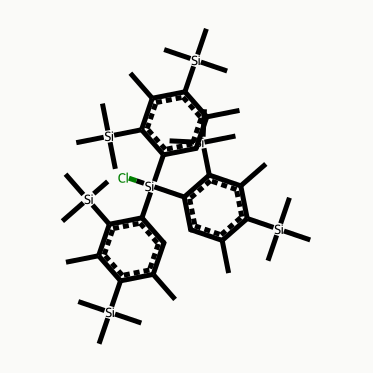 Cc1cc([Si](Cl)(c2cc(C)c([Si](C)(C)C)c(C)c2[Si](C)(C)C)c2cc(C)c([Si](C)(C)C)c(C)c2[Si](C)(C)C)c([Si](C)(C)C)c(C)c1[Si](C)(C)C